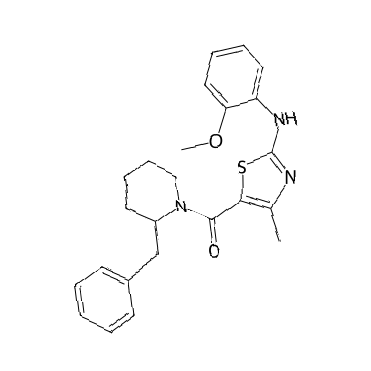 COc1ccccc1Nc1nc(C)c(C(=O)N2CCCCC2Cc2ccccc2)s1